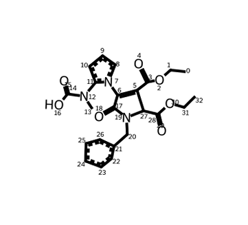 CCOC(=O)C1=C(n2cccc2N(C)C(=O)O)C(=O)N(Cc2ccccc2)C1C(=O)OCC